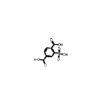 O=C(O)c1ccc(C(=O)O)c(S(=O)(=O)O)c1